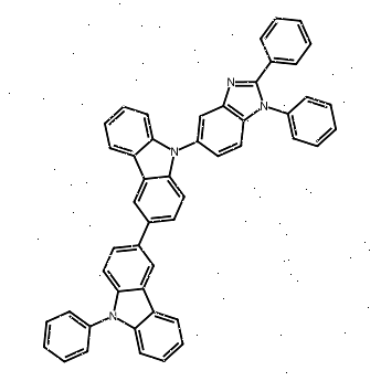 c1ccc(-c2nc3cc(-n4c5ccccc5c5cc(-c6ccc7c(c6)c6ccccc6n7-c6ccccc6)ccc54)ccc3n2-c2ccccc2)cc1